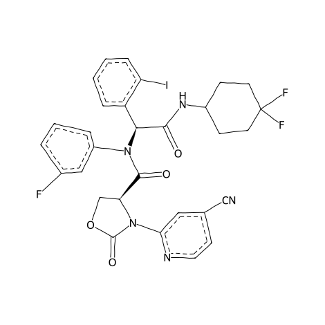 N#Cc1ccnc(N2C(=O)OC[C@H]2C(=O)N(c2cccc(F)c2)[C@H](C(=O)NC2CCC(F)(F)CC2)c2ccccc2I)c1